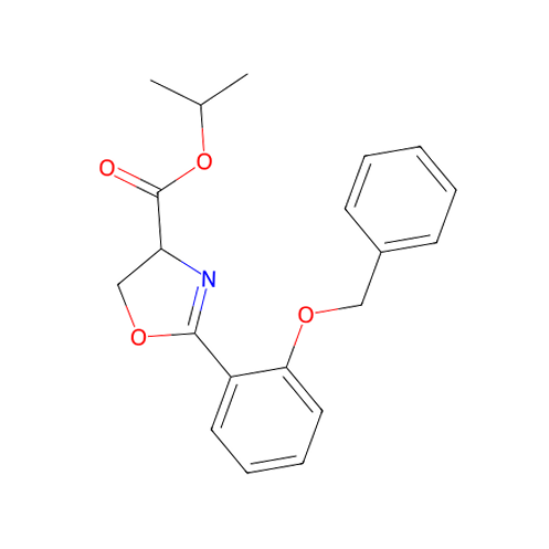 CC(C)OC(=O)C1COC(c2ccccc2OCc2ccccc2)=N1